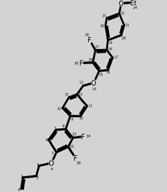 C=CCCOc1ccc(-c2ccc(COc3ccc(-c4ccc(OCC)cc4)c(F)c3F)cc2)c(F)c1F